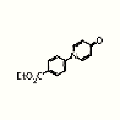 CCOC(=O)c1ccc(-n2ccc(=O)cc2)cc1